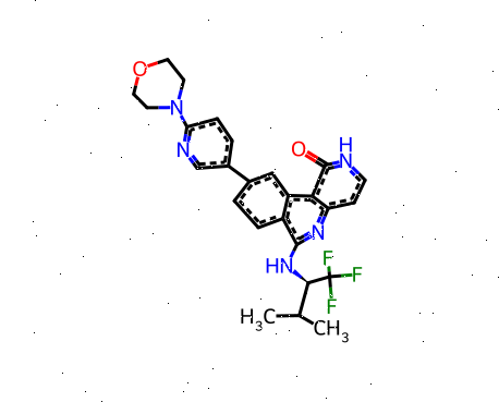 CC(C)[C@@H](Nc1nc2cc[nH]c(=O)c2c2cc(-c3ccc(N4CCOCC4)nc3)ccc12)C(F)(F)F